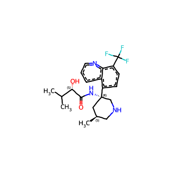 CC(C)[C@H](O)C(=O)N[C@]1(c2ccc(C(F)(F)F)c3ncccc23)CNC[C@@H](C)C1